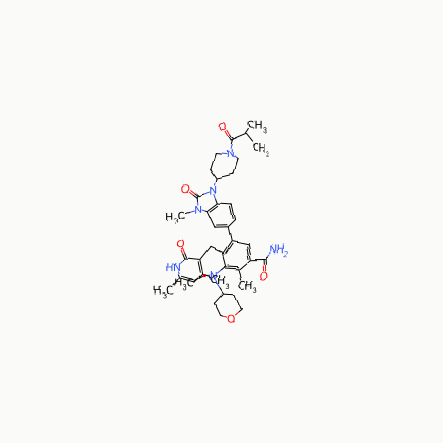 CCN(c1c(C)c(C(N)=O)cc(-c2ccc3c(c2)n(C)c(=O)n3C2CCN(C(=O)C(C)C)CC2)c1Cc1c(C)cc(C)[nH]c1=O)C1CCOCC1